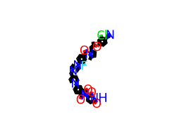 CC(CC1CCC(C)N1C(=O)c1ccc(N2CCN(CC3CCN(c4ccc5c(c4)C(=O)N(C4CCC(=O)NC4=O)C5=O)CC3)CC2)c(F)c1)Oc1ccc(C#N)c(Cl)c1